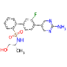 C[C@H](CO)NS(=O)(=O)c1ccccc1-c1ccc(-c2cnc(N)nc2)c(F)c1